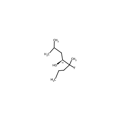 CCCC(C)(F)[C@@H](O)CC(C)C